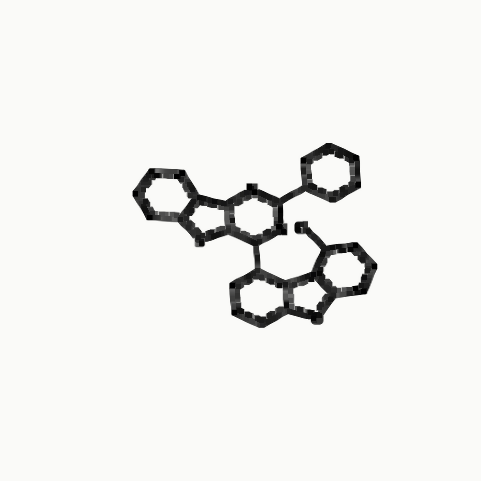 Clc1cccc2oc3cccc(-c4nc(-c5ccccc5)nc5c4sc4ccccc45)c3c12